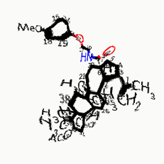 C=C(C)[C@@H]1CC[C@]2(C(=O)NCCOc3ccc(OC)cc3)CC[C@]3(C)[C@H](CC[C@@H]4[C@@]5(C)CC[C@H](OC(C)=O)C(C)(C)[C@@H]5CC[C@]43C)[C@@H]12